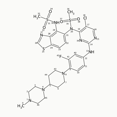 CN1CCN(C2CCN(c3ccc(Nc4ncc(Cl)c(N(c5ccc6scnc6c5NS(C)(=O)=O)S(C)(=O)=O)n4)cc3F)CC2)CC1